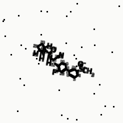 C[S+]([O-])c1cccc(-c2ccc(C[C@@H](C#N)NC(=O)[C@H]3N[C@@H]4CC[C@H]3C4)c(F)c2)c1